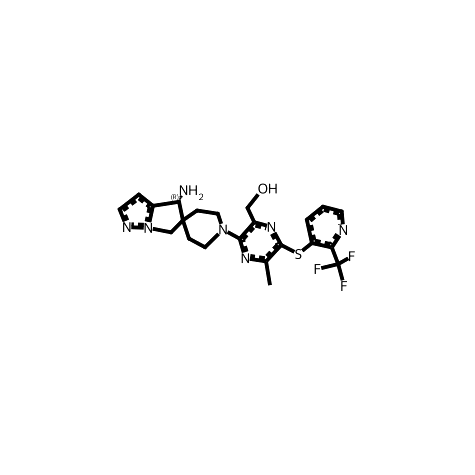 Cc1nc(N2CCC3(CC2)Cn2nccc2[C@@H]3N)c(CO)nc1Sc1cccnc1C(F)(F)F